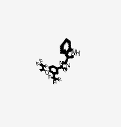 CC(Oc1ccc(-c2nc(-c3c[nH]c4ccccc34)no2)cc1C(F)(F)F)C(F)(F)F